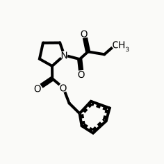 CCC(=O)C(=O)N1CCCC1C(=O)OCc1ccccc1